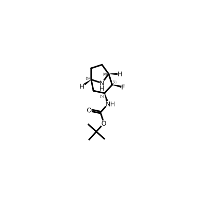 CC(C)(C)OC(=O)N[C@H]1C[C@@H]2CC[C@@H](N2)[C@H]1F